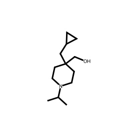 CC(C)N1CCC(CO)(CC2CC2)CC1